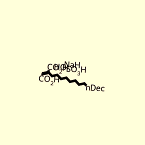 CCCCCCCCCCCCCCCCCC/C(=C\C(=O)O)C(=O)O.O=S(=O)(O)O.[NaH]